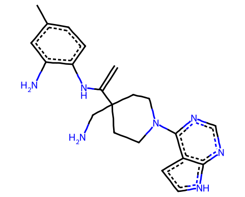 C=C(Nc1ccc(C)cc1N)C1(CN)CCN(c2ncnc3[nH]ccc23)CC1